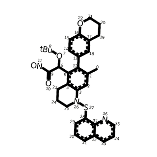 Cc1cc2c(c(C(OC(C)(C)C)C(=O)N=O)c1-c1ccc3c(c1)CCCO3)CCCN2Sc1cccc2cccnc12